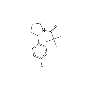 C=C(N1CCCC1c1ccc(F)cc1)C(C)(C)C